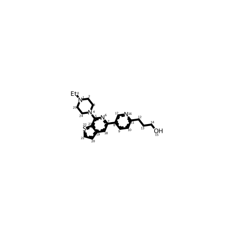 CCN1CCN(c2nc(-c3ccc(CCCO)nc3)cc3ccsc23)CC1